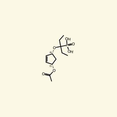 CCC(CC)(O[C@H]1C=C[C@@H](OC(C)=O)C1)P(=O)(O)O